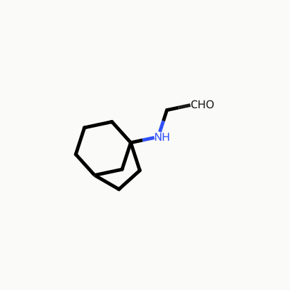 O=CCNC12CCCC(CC1)C2